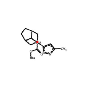 Cc1cc(N2CC3CCC(C2)C3NC(=O)OC(C)(C)C)sn1